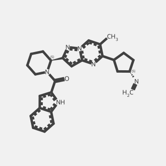 C=N[C@H]1CCC(c2nc3cc([C@@H]4CCCCN4C(=O)c4cc5ccccc5[nH]4)nn3cc2C)C1